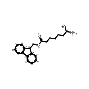 NC(O)CCCCCC(=O)OCC1c2ccccc2-c2ccccc21